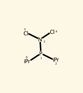 CC(C)P(C(C)C)N(Cl)Cl